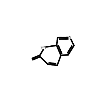 C=C1C=Cc2ccncc2N1